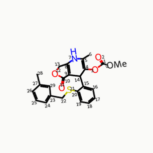 COC(=O)OC1=C(C)NC2=C(C(=O)OC2)C1c1ccccc1SCc1cccc(C)c1